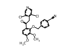 COc1ccc(C(=O)Cc2c(Cl)cncc2Cl)c(OCc2ccc(C#N)cc2)c1OC